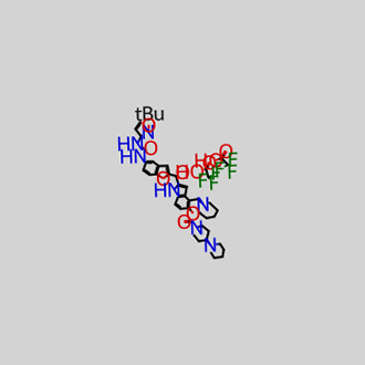 CC(C)(C)c1cc(NC(=O)Nc2ccc3oc(C(=O)c4cc5c(CN6CCCCC6)c(OC(=O)N6CCC(N7CCCCC7)CC6)ccc5[nH]4)cc3c2)no1.O=C(O)C(F)(F)F.O=C(O)C(F)(F)F